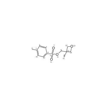 Cc1ccc(S(=O)(=O)OCC2(F)COC2)cc1